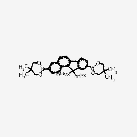 CCCCCCC1(CCCCCC)c2cc(B3OCC(C)(C)CO3)ccc2-c2ccc3cc(B4OCC(C)(C)CO4)ccc3c21